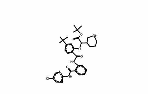 CC(C)(C)OC(=O)C(Oc1cc(C(C)(C)C)ccc1C(=O)Nc1ccccc1C(=O)Nc1ccc(Cl)cn1)C1CCCNC1